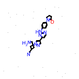 N#CC1CC(CN)(n2cc(-c3ccnc(Nc4ccc(N5CCCC5=O)cc4)n3)cn2)C1